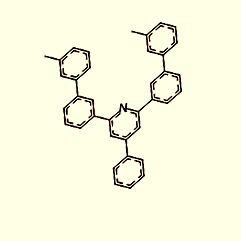 Cc1cccc(-c2cccc(-c3cc(-c4ccccc4)cc(-c4cccc(-c5cccc(C)c5)c4)n3)c2)c1